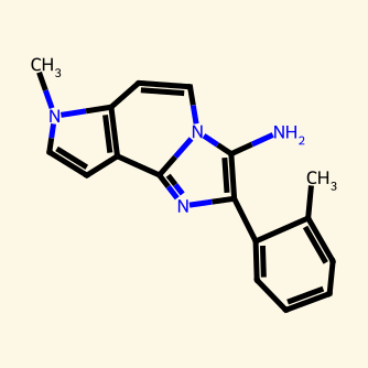 Cc1ccccc1-c1nc2c3ccn(C)c3ccn2c1N